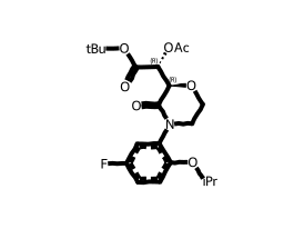 CC(=O)O[C@@H](C(=O)OC(C)(C)C)[C@H]1OCCN(c2cc(F)ccc2OC(C)C)C1=O